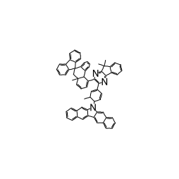 CC1C=C(c2nc3c(nc2C2=CC=CC4(C)CC5(c6ccccc6-c6ccccc65)c5ccccc5C24)C(C)(C)c2ccccc2-3)C=CC1n1c2cc3ccccc3cc2c2cc3ccccc3cc21